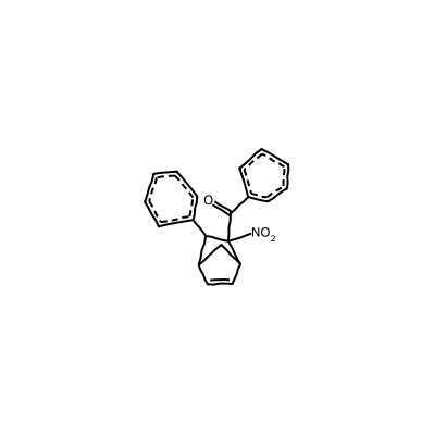 O=C(c1ccccc1)C1([N+](=O)[O-])C2C=CC(C2)C1c1ccccc1